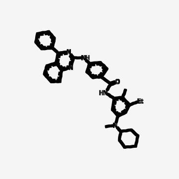 CCc1cc(N(C)C2CCCCC2)cc(NC(=O)c2ccc(Nc3nc(-c4ccccc4)c4ccccc4n3)cc2)c1C